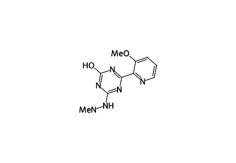 CNNc1nc(O)nc(-c2ncccc2OC)n1